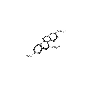 O=C(O)c1ccc2c(c1)cc(C(=O)O)c1c3ccc(C(=O)O)cc3ccc21